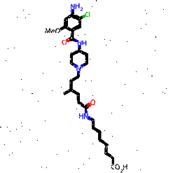 COc1cc(N)c(Cl)cc1C(=O)NC1CCN(CCC(C)CCC(=O)NCCCCCCCC(=O)O)CC1